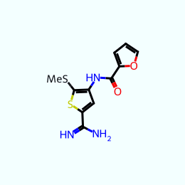 CSc1sc(C(=N)N)cc1NC(=O)c1ccco1